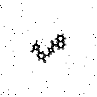 Cc1cc(C)n(-c2ccc(=O)n(CC3CN(C(=O)c4cccc5ccccc45)C3)n2)n1